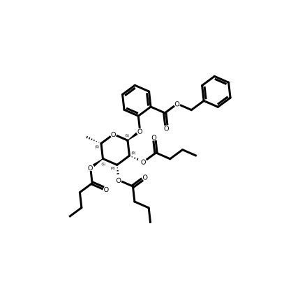 CCCC(=O)O[C@@H]1[C@@H](OC(=O)CCC)[C@H](C)O[C@@H](Oc2ccccc2C(=O)OCc2ccccc2)[C@@H]1OC(=O)CCC